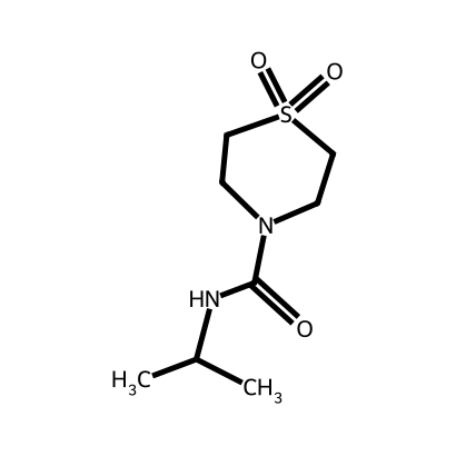 CC(C)NC(=O)N1CCS(=O)(=O)CC1